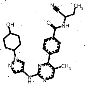 CCC(C#N)NC(=O)c1ccc(-c2nc(Nc3cnn(C4CCC(O)CC4)c3)ncc2C)cc1